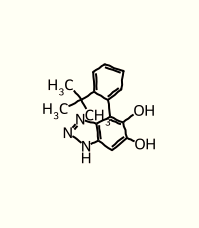 CC(C)(C)c1ccccc1-c1c(O)c(O)cc2[nH]nnc12